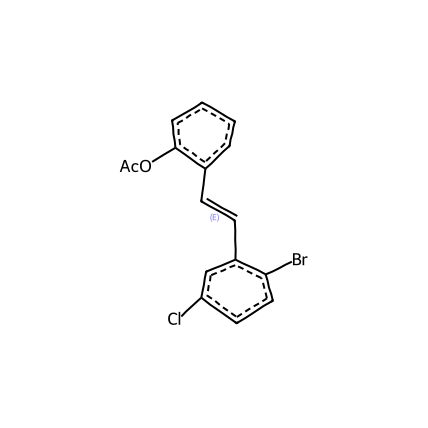 CC(=O)Oc1ccccc1/C=C/c1cc(Cl)ccc1Br